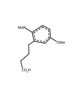 CNc1ccc(OC)cc1CCCC(=O)O